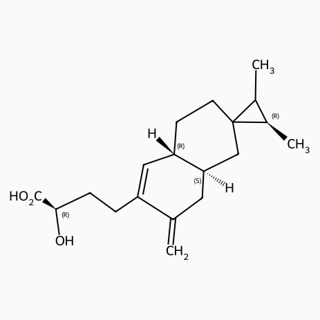 C=C1C[C@@H]2CC3(CC[C@H]2C=C1CC[C@@H](O)C(=O)O)C(C)[C@H]3C